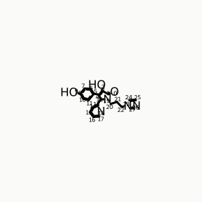 O=C1C(O)=C(c2ccc(O)cc2)C(c2ccccn2)N1CCCn1ccnc1